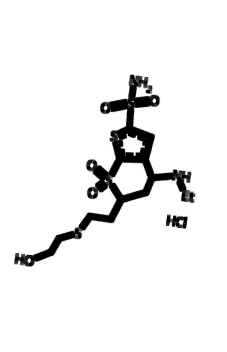 CCNC1CC(CCSCCO)S(=O)(=O)c2sc(S(N)(=O)=O)cc21.Cl